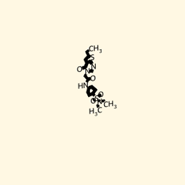 CCc1cc2c(=O)n(CC(=O)Nc3ccc(S(=O)(=O)N(CC)CC)cc3)cnc2s1